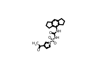 CC(=O)c1ccn(S(=O)(=O)NC(=O)Nc2c3c(cc4c2CCC4)CCC3)c1